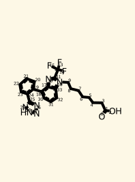 O=C(O)CCCCCCCn1c(C(F)(F)F)nc2c(-c3ccccc3-c3nn[nH]n3)cccc21